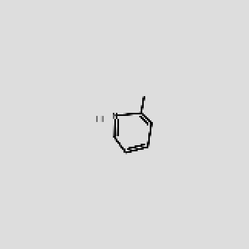 Cc1ccccn1.I